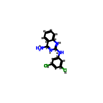 Nc1nc(Nc2cc(Cl)cc(Cl)c2)nc2ccccc12